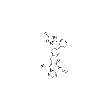 CCCc1c(Cc2ccc(-c3ccccc3-c3noc(=O)[nH]3)cc2)c(=O)n(CC(C)(C)C)c2ncnn12